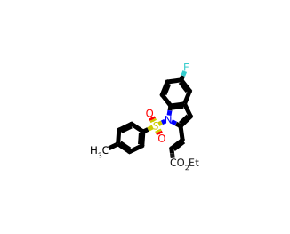 CCOC(=O)/C=C/c1cc2cc(F)ccc2n1S(=O)(=O)c1ccc(C)cc1